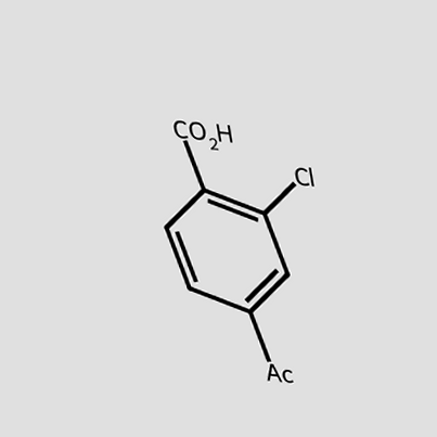 CC(=O)c1ccc(C(=O)O)c(Cl)c1